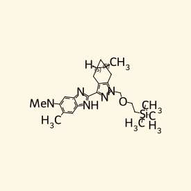 CNc1cc2nc(-c3nn(COCC[Si](C)(C)C)c4c3C[C@@H]3C[C@]3(C)C4)[nH]c2cc1C